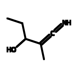 CCC(O)C(C)=C=N